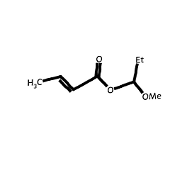 C/C=C/C(=O)OC(CC)OC